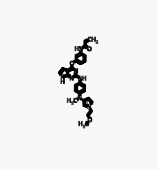 C=CC(=O)Nc1cccc(Oc2nc(Nc3ccc(N(C)[C@H]4CCN(CCOC)C4)cc3)nc3[nH]ccc23)c1